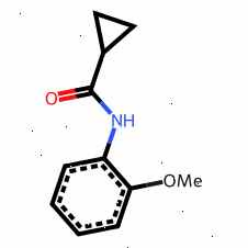 COc1ccccc1NC(=O)C1CC1